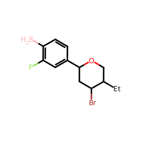 Bc1ccc(C2CC(Br)C(CC)CO2)cc1F